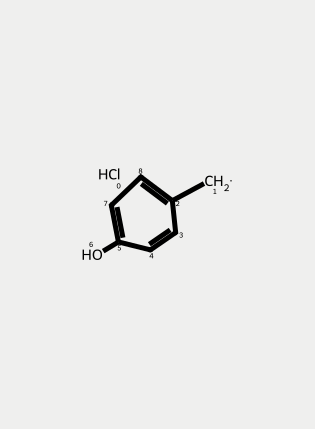 Cl.[CH2]c1ccc(O)cc1